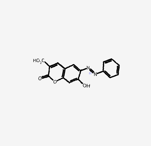 O=C(O)c1cc2cc(/N=N/c3ccccc3)c(O)cc2oc1=O